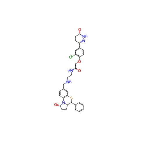 O=C(COc1ccc(C2=NNC(=O)CC2)cc1Cl)NCCNCc1ccc2c(c1)SC(c1ccccc1)C1CCC(=O)N21